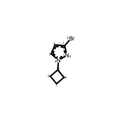 Brc1ccn(C2CCC2)n1